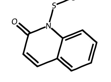 O=c1ccc2ccccc2n1SO